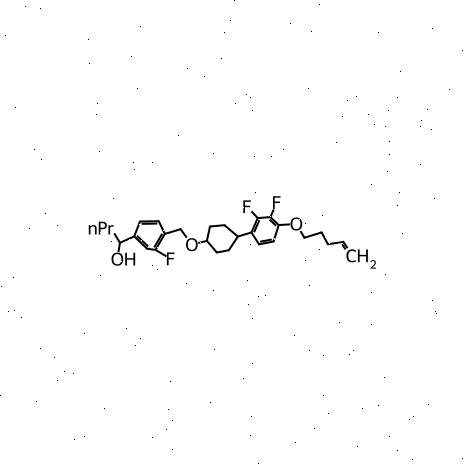 C=CCCCOc1ccc(C2CCC(OCc3ccc(C(O)CCC)cc3F)CC2)c(F)c1F